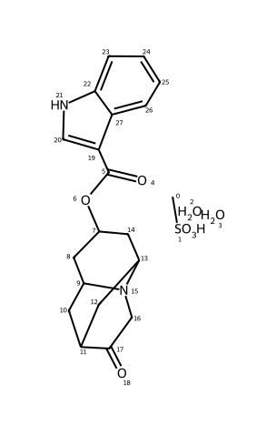 CS(=O)(=O)O.O.O.O=C(OC1CC2CC3CC(C1)N2CC3=O)c1c[nH]c2ccccc12